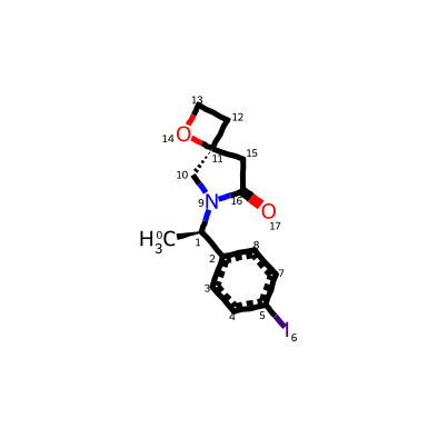 C[C@H](c1ccc(I)cc1)N1C[C@]2(CCO2)CC1=O